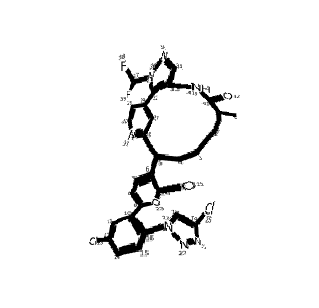 CC1CCCC(c2ccc(-c3cc(Cl)ccc3-n3cc(Cl)nn3)oc2=O)c2cc(ccn2)-c2c(cnn2C(F)F)NC1=O